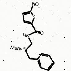 CN[C@H](CNC(=O)c1ccc([N+](=O)[O-])s1)Cc1ccccc1